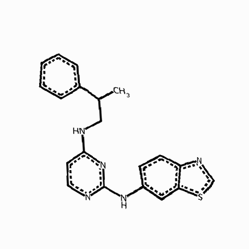 CC(CNc1ccnc(Nc2ccc3ncsc3c2)n1)c1ccccc1